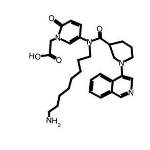 NCCCCCCCCN(C(=O)C1CCCN(c2cncc3ccccc23)C1)c1ccc(=O)n(CC(=O)O)c1